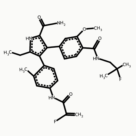 C=C(F)C(=O)Nc1ccc(-c2c(CC)[nH]c(C(N)=O)c2-c2ccc(C(=O)NCC(C)(C)F)c(OC)c2)c(C)c1